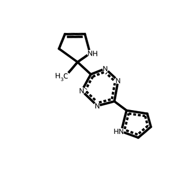 CC1(c2nnc(-c3ccc[nH]3)nn2)CC=CN1